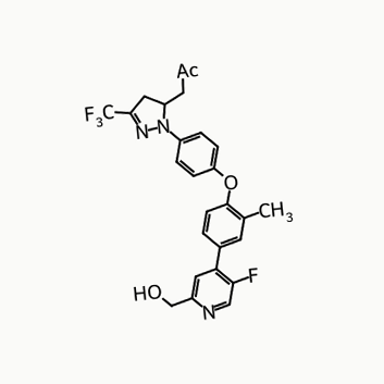 CC(=O)CC1CC(C(F)(F)F)=NN1c1ccc(Oc2ccc(-c3cc(CO)ncc3F)cc2C)cc1